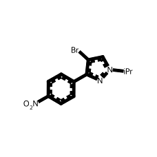 CC(C)n1cc(Br)c(-c2ccc([N+](=O)[O-])cc2)n1